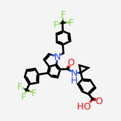 O=C(O)c1ccc(C2(NC(=O)c3ccc(-c4cccc(C(F)(F)F)c4)c4ccn(Cc5ccc(C(F)(F)F)cc5)c34)CC2)cc1